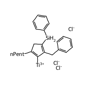 CCCCCC1=[C]([Ti+3])C(Cc2ccccc2)=C([SiH2]c2ccccc2)C1.[Cl-].[Cl-].[Cl-]